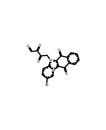 O=CC(=O)C(=O)C[n+]1c2c(n3cc(Br)ccc31)C(=O)c1ccccc1C2=O